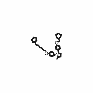 Cc1ccc(-c2ccc(OCc3ccccc3)cc2)n1-c1ccc(OCCCCCCc2ccccc2)cc1